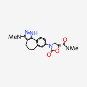 CNC(=O)[C@H]1CN(c2ccc3c(c2)CCCc2c(NC)n[nH]c2-3)C(=O)O1